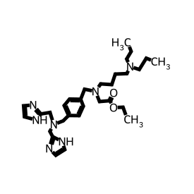 CCCN(CCC)CCCCN(CC(=O)OCC)Cc1ccc(CN(Cc2ncc[nH]2)Cc2ncc[nH]2)cc1